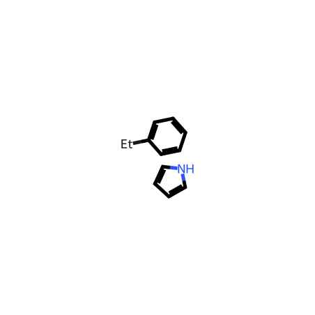 CCc1ccccc1.c1cc[nH]c1